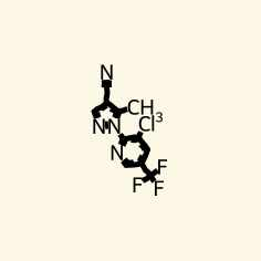 Cc1c(C#N)cnn1-c1ncc(C(F)(F)F)cc1Cl